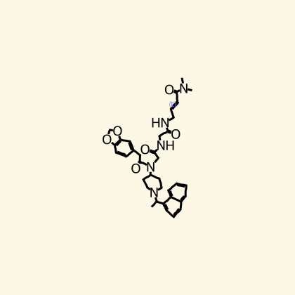 CC(c1cccc2ccccc12)N1CCC(N(CC(=O)NCC(=O)NC/C=C/C(=O)N(C)C)C(=O)Cc2ccc3c(c2)OCO3)CC1